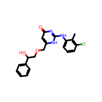 Cc1c(Cl)cccc1Nc1nc(=O)cc(COCC(O)c2ccccc2)[nH]1